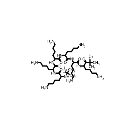 CC(C)(C)NC(CCCCN)C(=O)NC(CCCCN)C(=O)NC(CCCCN)C(=O)NC(CCCCN)C(=O)NC(CCCCN)C(=O)NC(CCCCN)C(=O)C(C)(C)C